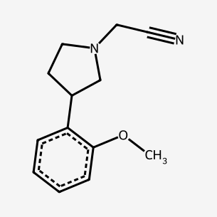 COc1ccccc1C1CCN(CC#N)C1